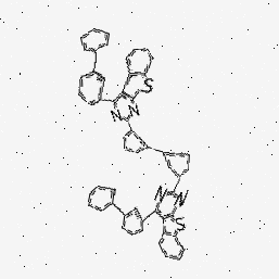 c1ccc(-c2cccc(-c3nc(-c4cccc(-c5cccc(-c6nc(-c7cccc(-c8ccccc8)c7)c7c(n6)sc6ccccc67)c5)c4)nc4sc5ccccc5c34)c2)cc1